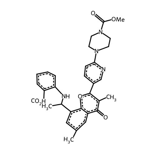 COC(=O)N1CCN(c2ccc(-c3oc4c(C(C)Nc5ccccc5C(=O)O)cc(C)cc4c(=O)c3C)cn2)CC1